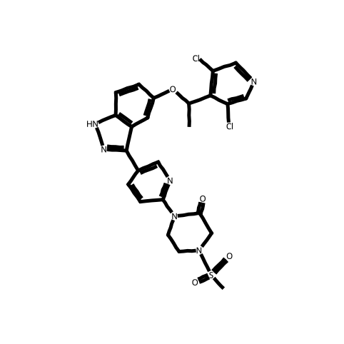 CC(Oc1ccc2[nH]nc(-c3ccc(N4CCN(S(C)(=O)=O)CC4=O)nc3)c2c1)c1c(Cl)cncc1Cl